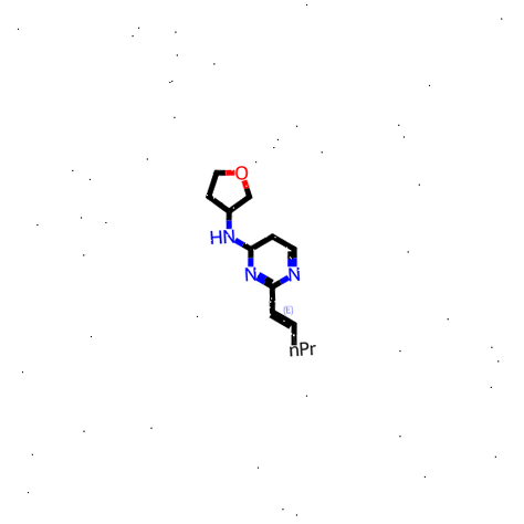 CCC/C=C/C1=NC(NC2CCOC2)CC=N1